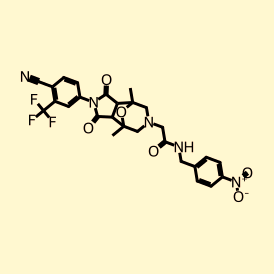 CC12CN(CC(=O)NCc3ccc([N+](=O)[O-])cc3)CC(C)(O1)C1C(=O)N(c3ccc(C#N)c(C(F)(F)F)c3)C(=O)C12